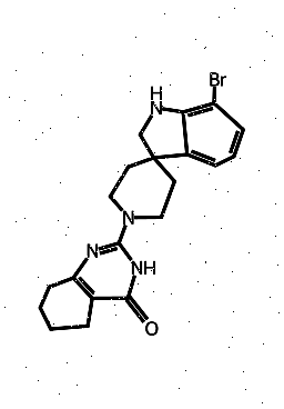 O=c1[nH]c(N2CCC3(CC2)CNc2c(Br)cccc23)nc2c1CCCC2